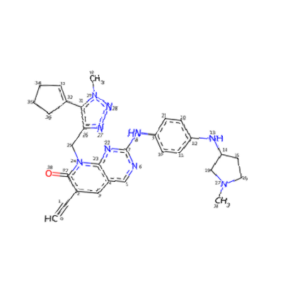 C#Cc1cc2cnc(Nc3ccc(NC4CCN(C)C4)cc3)nc2n(Cc2nnn(C)c2C2=CCCC2)c1=O